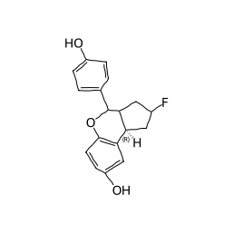 Oc1ccc(C2Oc3ccc(O)cc3[C@@H]3CC(F)CC23)cc1